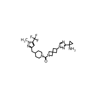 Cn1nc(CC2CCN(C(=O)N3CC4(CC(n5cnc(C6(N)CC6)n5)C4)C3)CC2)cc1C(F)(F)F